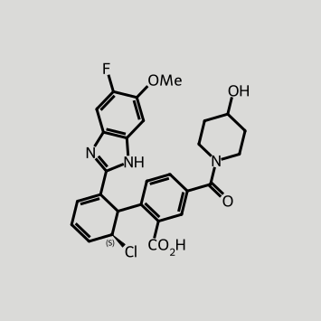 COc1cc2[nH]c(C3=CC=C[C@H](Cl)C3c3ccc(C(=O)N4CCC(O)CC4)cc3C(=O)O)nc2cc1F